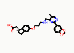 Cc1cnc(-c2ccc3c(c2)OCO3)nc1CNCCCOc1ccc2c(c1)CC[C@H]2CC(=O)O